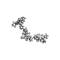 CCC(C)[C@H](NC(=O)c1cc(-c2csc(NC(=O)[C@H](CC(C)C)NC(=O)c3cccs3)n2)cs1)C(=O)Nc1nc(-c2csc(C(=O)N[C@@H](Cc3ccccc3)C(=O)Nc3nccs3)c2)cs1